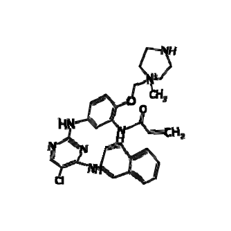 C=CC(=O)Nc1cc(Nc2ncc(Cl)c(Nc3ccc4ccccc4c3)n2)ccc1OC[N+]1(C)CCNCC1